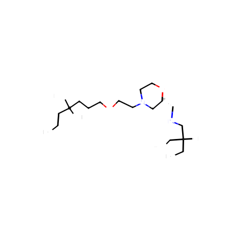 CCCC(C)(C)CCCOCCN1CCO[C@H](CNCC(C)(CC)CC)C1